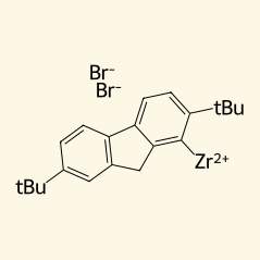 CC(C)(C)c1ccc2c(c1)Cc1c-2ccc(C(C)(C)C)[c]1[Zr+2].[Br-].[Br-]